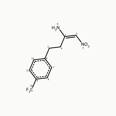 N/C(=C/[N+](=O)[O-])CCc1ccc(C(F)(F)F)cc1